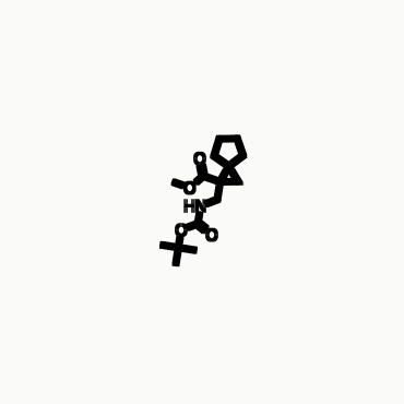 COC(=O)C1(CNC(=O)OC(C)(C)C)CC12CCCC2